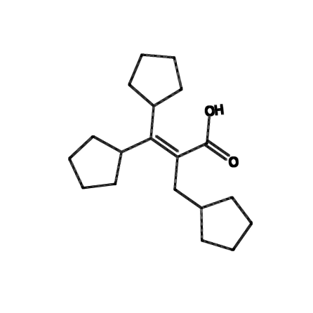 O=C(O)C(CC1CCCC1)=C(C1CCCC1)C1CCCC1